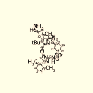 Cc1cccc(C)c1-c1cc2nc(n1)NS(=O)(=O)c1cccc(c1)C(=O)N([C@@H](C)CC1(C)CC(=[SH]N)C1)[C@H](CC(C)(C)C)CO2